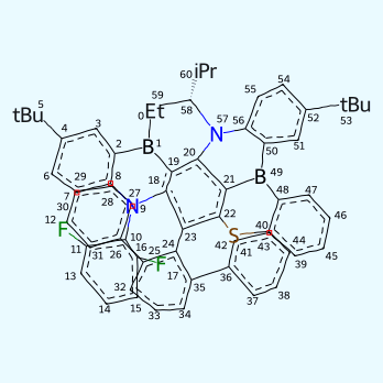 CCB1c2cc(C(C)(C)C)ccc2N(c2c(F)cccc2F)c2c1c1c3c(c2-c2c(-c4ccccc4)cccc2-c2ccccc2)Sc2ccccc2B3c2cc(C(C)(C)C)ccc2N1[C@H](C)C(C)C